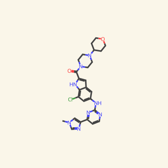 Cn1cnc(-c2ccnc(Nc3cc(Cl)c4[nH]c(C(=O)N5CCN(C6CCOCC6)CC5)cc4c3)n2)c1